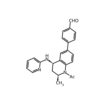 CC(=O)N1c2ccc(-c3ccc(C=O)cc3)cc2[C@H](Nc2ccccn2)C[C@@H]1C